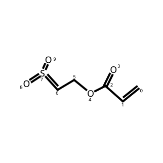 C=CC(=O)OCC=S(=O)=O